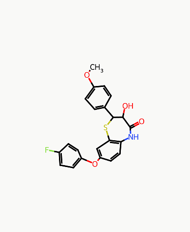 COc1ccc(C2Sc3cc(Oc4ccc(F)cc4)ccc3NC(=O)C2O)cc1